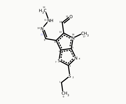 CCSc1nc2c(s1)c(/C=N\NC)c(C=O)n2C